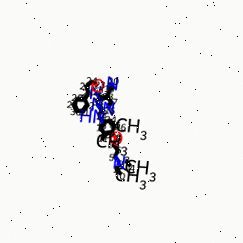 CCN(CC)CCCOc1c(C)cc(Nc2ncc(C#N)c(N3OCCC3c3ccccc3)n2)cc1C